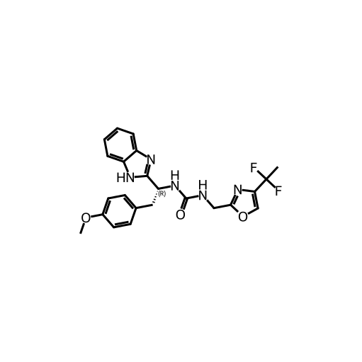 COc1ccc(C[C@@H](NC(=O)NCc2nc(C(C)(F)F)co2)c2nc3ccccc3[nH]2)cc1